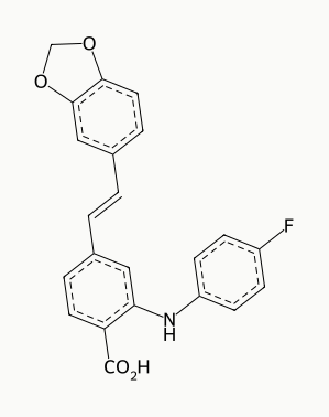 O=C(O)c1ccc(C=Cc2ccc3c(c2)OCO3)cc1Nc1ccc(F)cc1